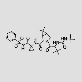 CC(C)(C)NC(=O)NC(C(=O)N1CC2C(C1C(=O)NC1(C(=O)NS(=O)(=O)c3ccccc3)CC1)C2(C)C)C(C)(C)C